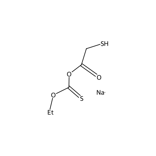 CCOC(=S)OC(=O)CS.[Na]